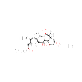 CCOC(=O)O[C@@H]1CC[C@]2(C)C3C(C(=O)[C@H](CC)[C@@H]2C1)C1CC[C@H]([C@H](C)CCC(=O)OC)[C@@]1(C)[C@@H](C)[C@@H]3O